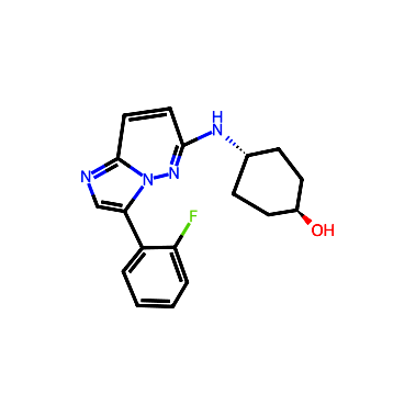 O[C@H]1CC[C@H](Nc2ccc3ncc(-c4ccccc4F)n3n2)CC1